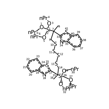 CCCO[Si](OCCC)(OCCC)C(C)(CSSSSCC(C)(c1nc2ccccc2s1)[Si](OCCC)(OCCC)OCCC)c1nc2ccccc2s1